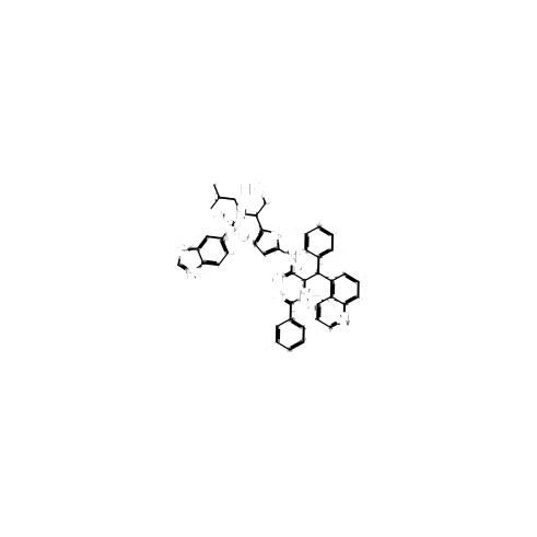 CC(C)CN(C(CO)c1ccc(N(C)C(=O)C(NC(=O)c2ccccc2)C(c2ccccc2)c2cccc3ncccc23)s1)S(=O)(=O)c1ccc2ncsc2c1